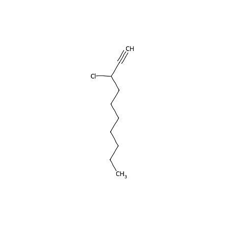 C#CC(Cl)CCCCCCC